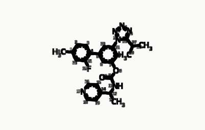 Cc1ccc(-c2cc(OC(=O)NC(C)c3ccncc3)cc(-n3nnnc3C(C)C)c2)c(F)c1